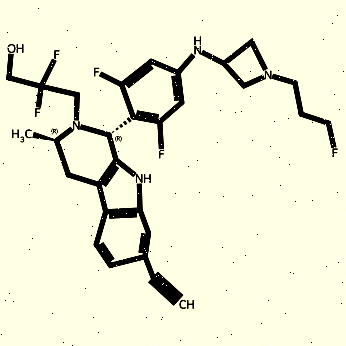 C#Cc1ccc2c3c([nH]c2c1)[C@@H](c1c(F)cc(NC2CN(CCCF)C2)cc1F)N(CC(F)(F)CO)[C@H](C)C3